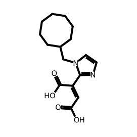 O=C(O)C=C(C(=O)O)c1nccn1CC1CCCCCCC1